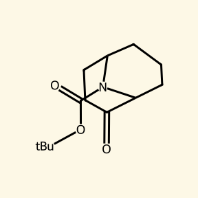 CC(C)(C)OC(=O)N1C2CCCC1C(=O)CC2